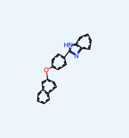 c1ccc2cc(Oc3ccc(-c4nc5ccccc5[nH]4)cc3)ccc2c1